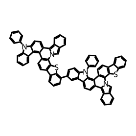 c1ccc(-n2c3ccccc3c3c4c(ccc32)c2c3ccccc3cn2c2c4ccc3c4cccc(-c5ccc6c(c5)c5ccc7c(c8ccc9c%10ccccc%10sc9c8n8cc9ccccc9c78)c5n6-c5ccccc5)c4sc32)cc1